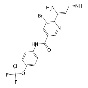 N=C/C=C(\N)c1ncc(C(=O)Nc2ccc(OC(F)(F)Cl)cc2)cc1Br